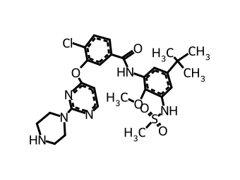 COc1c(NC(=O)c2ccc(Cl)c(Oc3ccnc(N4CCNCC4)n3)c2)cc(C(C)(C)C)cc1NS(C)(=O)=O